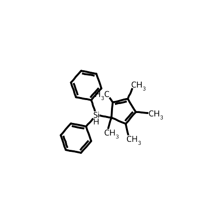 CC1=C(C)C(C)([SiH](c2ccccc2)c2ccccc2)C(C)=C1C